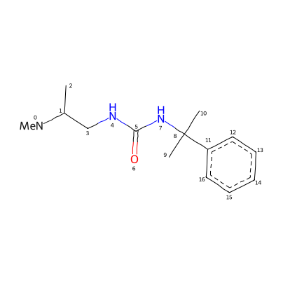 CNC(C)CNC(=O)NC(C)(C)c1ccccc1